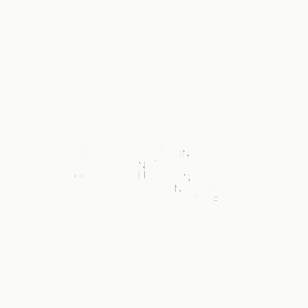 CCc1ccc(C2CC(C(F)(F)F)n3ncc(C(=O)NCc4ccc5c(c4)OCCO5)c3N2)cc1